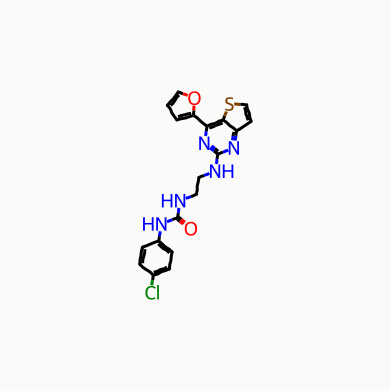 O=C(NCCNc1nc(-c2ccco2)c2sccc2n1)Nc1ccc(Cl)cc1